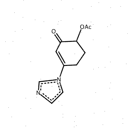 CC(=O)OC1CCC(n2ccnc2)=CC1=O